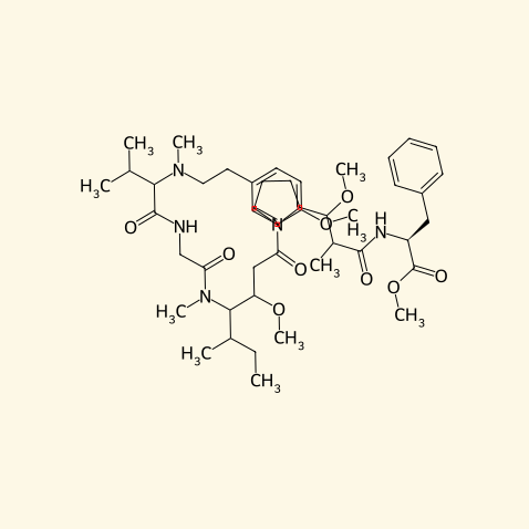 CCC(C)C(C(CC(=O)N1CCCC1C(OC)C(C)C(=O)N[C@@H](Cc1ccccc1)C(=O)OC)OC)N(C)C(=O)CNC(=O)C(C(C)C)N(C)CCc1ccc(OC)cc1